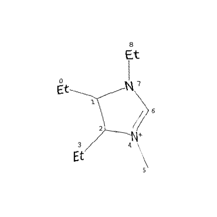 CCC1C(CC)[N+](C)=CN1CC